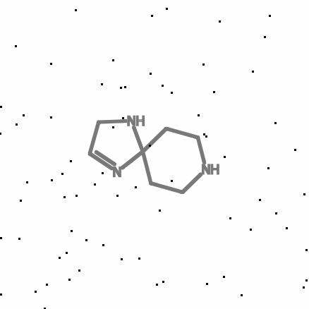 C1=NC2(CCNCC2)NC1